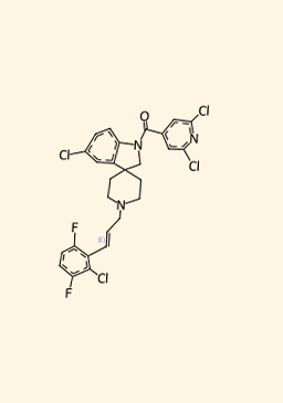 O=C(c1cc(Cl)nc(Cl)c1)N1CC2(CCN(C/C=C/c3c(F)ccc(F)c3Cl)CC2)c2cc(Cl)ccc21